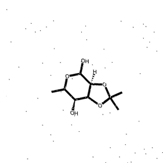 CC1OC(O)[C@H]2OC(C)(C)OC2[C@H]1O